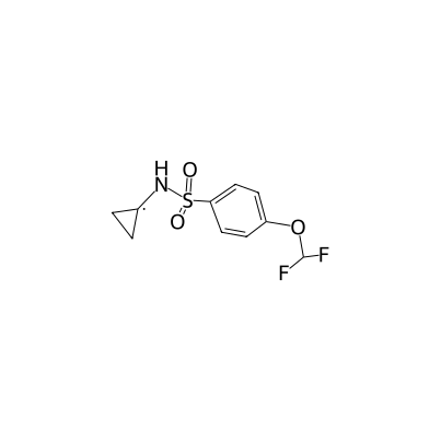 O=S(=O)(N[C]1CC1)c1ccc(OC(F)F)cc1